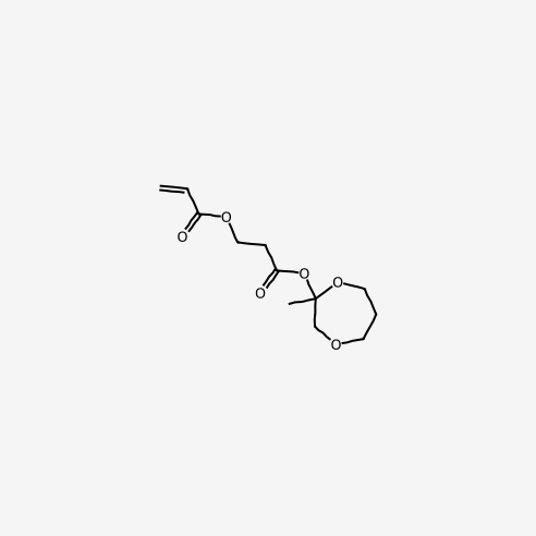 C=CC(=O)OCCC(=O)OC1(C)COCCCO1